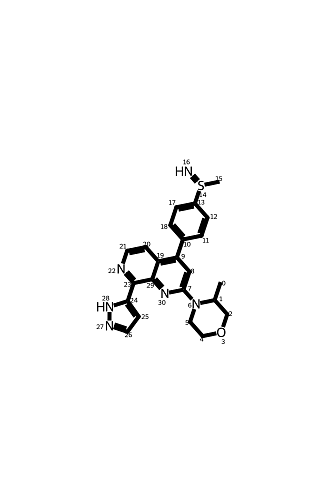 CC1COCCN1c1cc(-c2ccc(S(C)=N)cc2)c2ccnc(-c3ccn[nH]3)c2n1